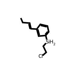 CCC=Cc1cccc([SiH2]CCCl)c1